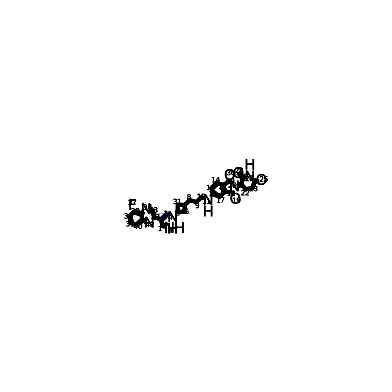 N=C/C(=C\NC1CC(CCCNc2ccc3c(c2)C(=O)N(C2CCC(=O)NC2=O)C3=O)C1)c1cnc2c(F)cccc2n1